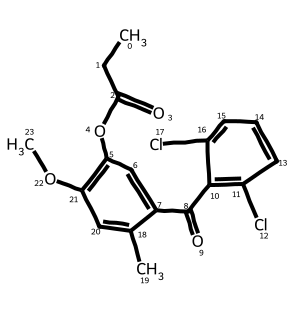 CCC(=O)Oc1cc(C(=O)c2c(Cl)cccc2Cl)c(C)cc1OC